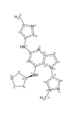 Cc1cc(Nc2nc(N[C@H]3CCOC3)c3c(ccn3-c3cnn(C)c3)n2)sn1